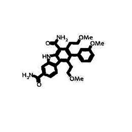 COCCc1c(-c2cccc(OC)c2)c(CCOC)c2c([nH]c3cc(C(N)=O)ccc32)c1C(N)=O